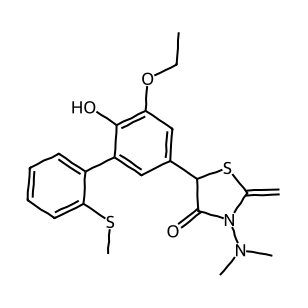 C=C1SC(c2cc(OCC)c(O)c(-c3ccccc3SC)c2)C(=O)N1N(C)C